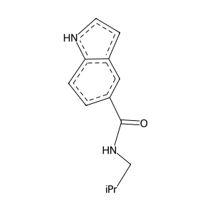 CC(C)CNC(=O)c1ccc2[nH]ccc2c1